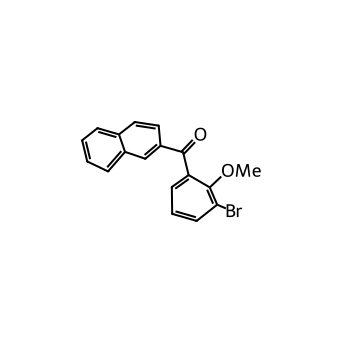 COc1c(Br)cccc1C(=O)c1ccc2ccccc2c1